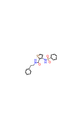 O=C(NCCc1ccccc1)c1sccc1NS(=O)(=O)c1ccccc1